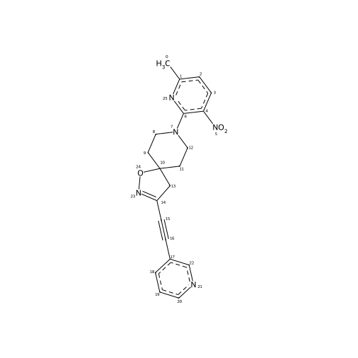 Cc1ccc([N+](=O)[O-])c(N2CCC3(CC2)CC(C#Cc2cccnc2)=NO3)n1